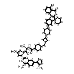 Cc1ncsc1-c1ccc([C@H](C)NC(=O)[C@@H]2C[C@@H](O)CN2C(=O)[C@@H](NC(=O)C2CCC(CN3CC(N4CCC(c5ccc6c(c5)C5(CCCCC5)c5nc(=O)c7c(Cl)cccc7n5-6)CC4)C3)CC2)C(C)(C)C)cc1